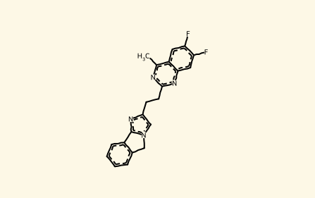 Cc1nc(CCc2cn3c(n2)-c2ccccc2C3)nc2cc(F)c(F)cc12